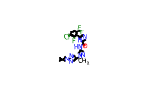 CC(c1cnc(N2CC3(CC3)C2)nc1)n1cc(NC(=O)c2cncc(-c3c(C(F)F)ccc(Cl)c3F)n2)cn1